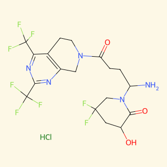 Cl.NC(CCC(=O)N1CCc2c(nc(C(F)(F)F)nc2C(F)(F)F)C1)N1CC(F)(F)CC(O)C1=O